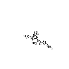 CCn1ncc2c(SCC(=O)c3ccc(CN)s3)nc(C(F)(F)F)nc21.Cl